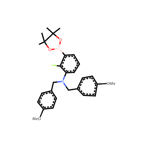 COc1ccc(CN(Cc2ccc(OC)cc2)c2cccc(B3OC(C)(C)C(C)(C)O3)c2F)cc1